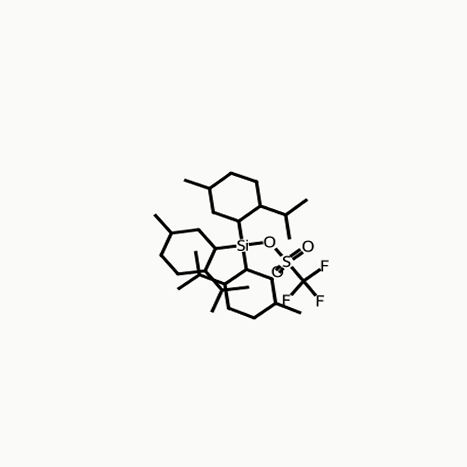 CC1CCC(C(C)C)C([Si](OS(=O)(=O)C(F)(F)F)(C2CC(C)CCC2C(C)C)C2CC(C)CCC2C(C)C)C1